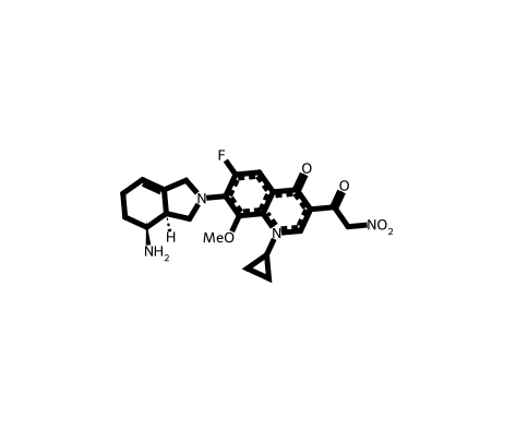 COc1c(N2CC3=CCC[C@H](N)[C@@H]3C2)c(F)cc2c(=O)c(C(=O)C[N+](=O)[O-])cn(C3CC3)c12